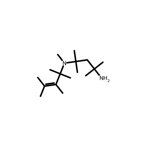 CC(C)=C(C)C(C)(C)N(C)C(C)(C)CC(C)(C)N